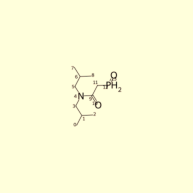 CC(C)CN(CC(C)C)C(=O)C[PH2]=O